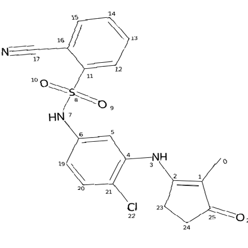 CC1=C(Nc2cc(NS(=O)(=O)c3ccccc3C#N)ccc2Cl)CCC1=O